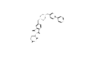 O=C1CCC(N2C(=O)c3ccc(CN4CCN(Cc5ccc(-c6ccncc6)nc5)CC4)cc3C2=O)C(=O)N1